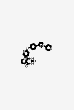 O=C1NC(=O)C2(CCCN2c2ccc(Oc3ccc(-c4ccn(-c5ccncc5)n4)cc3)nc2)C(=O)N1